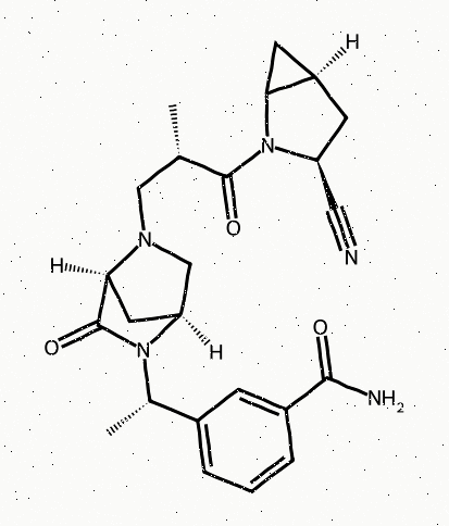 C[C@@H](CN1C[C@@H]2C[C@H]1C(=O)N2[C@@H](C)c1cccc(C(N)=O)c1)C(=O)N1C2C[C@H]2C[C@H]1C#N